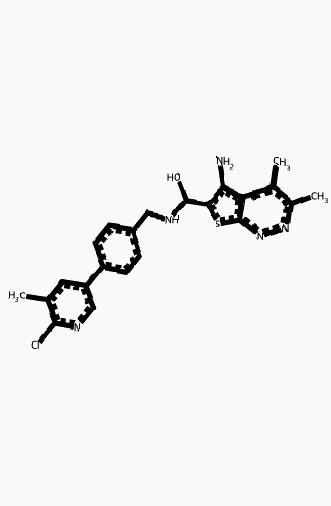 Cc1cc(-c2ccc(CNC(O)c3sc4nnc(C)c(C)c4c3N)cc2)cnc1Cl